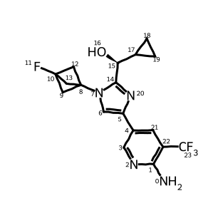 Nc1ncc(-c2cn(C34CC(F)(C3)C4)c([C@@H](O)C3CC3)n2)cc1C(F)(F)F